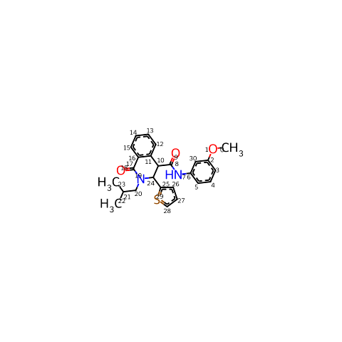 COc1cccc(NC(=O)C2c3ccccc3C(=O)N(CC(C)C)C2c2cccs2)c1